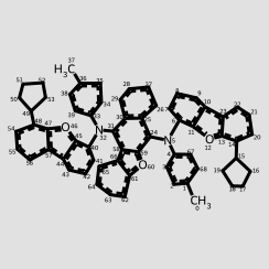 Cc1ccc(N(c2cccc3c2oc2c(C4CCCC4)cccc23)c2c3ccccc3c(N(c3ccc(C)cc3)c3cccc4c3oc3c(C5CCCC5)cccc34)c3c2oc2ccccc23)cc1